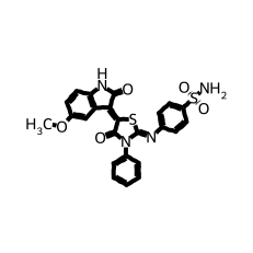 COc1ccc2c(c1)/C(=C1/S/C(=N\c3ccc(S(N)(=O)=O)cc3)N(c3ccccc3)C1=O)C(=O)N2